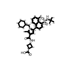 Cc1c(C(=O)N[C@H]2C[C@H](C(=O)O)C2)cc(-c2ccc(S(=O)(=O)NC(C)(C)C)c3c(F)cccc23)n1CC1CCCCC1